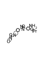 CC(C)Oc1ccc(-c2nc(-c3ccc4c(c3)CCN(CC(=O)N3CCOCC3)CC4)no2)cc1N